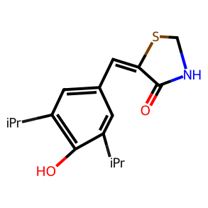 CC(C)c1cc(C=C2SCNC2=O)cc(C(C)C)c1O